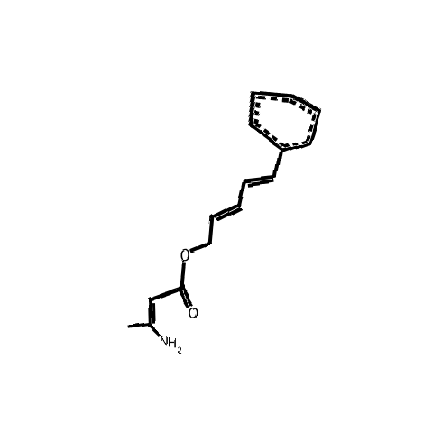 CC(N)=CC(=O)OCC=CC=Cc1ccccc1